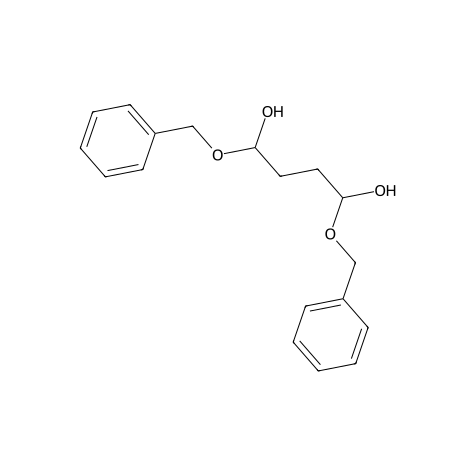 OC(CCC(O)OCc1ccccc1)OCc1ccccc1